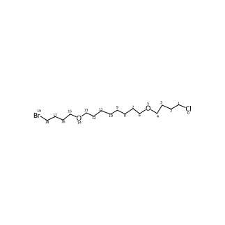 ClCCCCOCCCCCCCCOCCCCBr